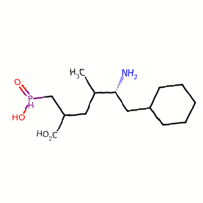 CC(CC(C[PH](=O)O)C(=O)O)[C@H](N)CC1CCCCC1